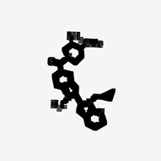 CO[C@@H]1CCN(C(=O)c2ccc3c(c2)cc(-c2cc4cccnc4n2CC2CC2)n3C)C[C@@H]1N